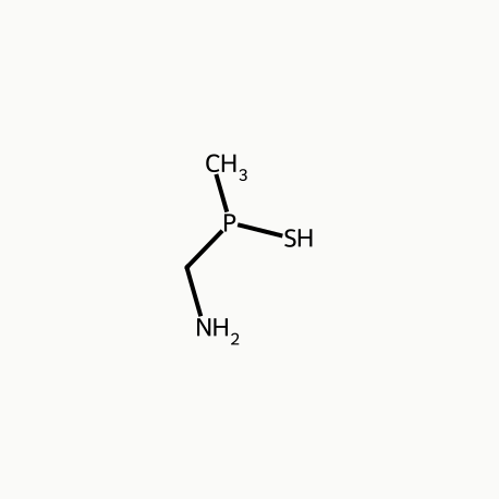 CP(S)CN